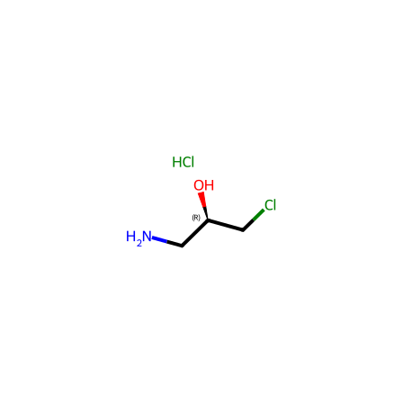 Cl.NC[C@@H](O)CCl